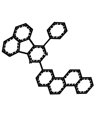 c1ccc(-c2nc(-c3ccc4ccc5c6ccccc6ccc5c4c3)nc3c2-c2cccc4cccc-3c24)cc1